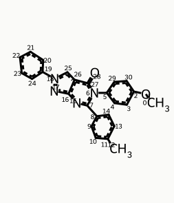 COc1ccc(-n2c(-c3ccc(C)cc3)nc3nn(-c4ccccc4)cc3c2=O)cc1